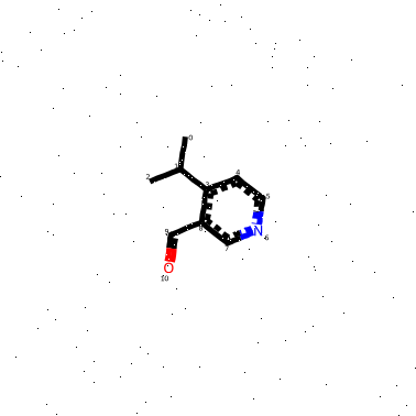 CC(C)c1ccncc1[C]=O